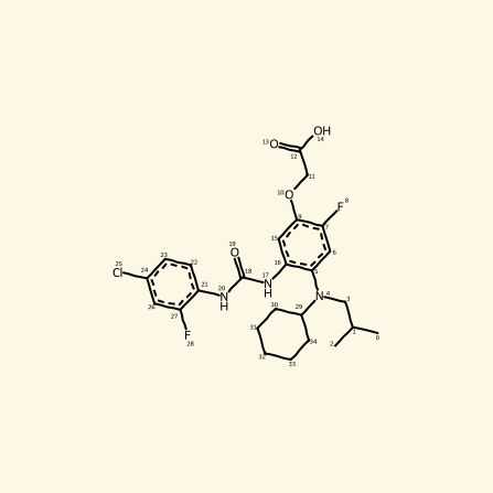 CC(C)CN(c1cc(F)c(OCC(=O)O)cc1NC(=O)Nc1ccc(Cl)cc1F)C1CCCCC1